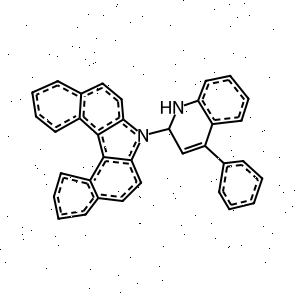 C1=C(c2ccccc2)c2ccccc2NC1n1c2ccc3ccccc3c2c2c3ccccc3ccc21